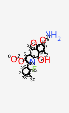 COCOc1ccc(C(O)c2c(C)cc(OCN)c3c2CCO3)nc1-c1cccc(C)c1F